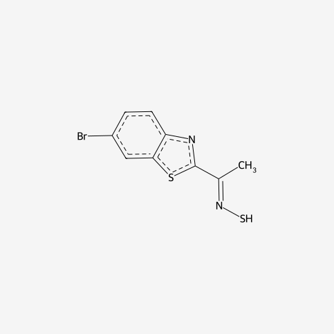 C/C(=N\S)c1nc2ccc(Br)cc2s1